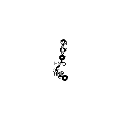 C[C@@H]1CN(c2ccc(C(=O)NCCC(=O)ONS(=O)(=O)c3ccccc3)cc2)CCN1c1ncccn1